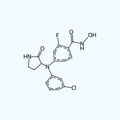 O=C(NO)c1ccc(N(c2cccc(Cl)c2)C2CCNC2=O)cc1F